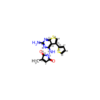 CC1=CC(=O)N(Nc2nc(N)nc3scc(-c4cccs4)c23)C1=O